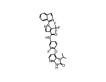 CC(C)n1c(=O)[nH]c2nccc(Oc3ccc(NC(=O)c4cnn(-c5nccc6ccccc56)c4C(F)(F)F)cc3F)c21